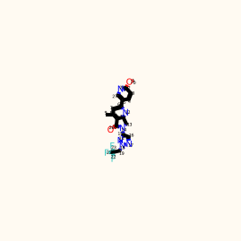 COc1ccc(-c2cc(C)c3c(n2)CN(c2cnn(CC(F)(F)F)n2)C3=O)cn1